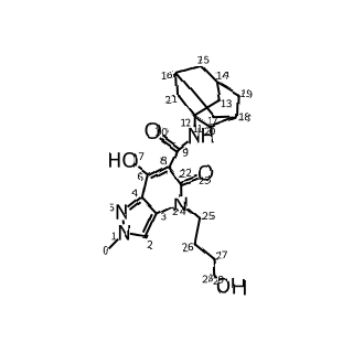 Cn1cc2c(n1)c(O)c(C(=O)NC13CC4CC(CC(C4)C1)C3)c(=O)n2CCCCO